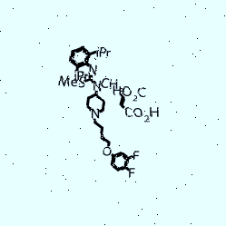 CSC(=Nc1c(C(C)C)cccc1C(C)C)N(C)C1CCN(CCCCOc2ccc(F)c(F)c2)CC1.O=C(O)/C=C/C(=O)O